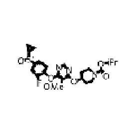 COc1c(Oc2ccc([S+]([O-])C3CC3)cc2F)ncnc1OC1CCN(C(=O)OC(C)C)CC1